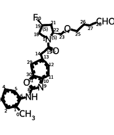 Cc1ccccc1Nc1nc2ccc(CC(=O)N3C[C@@H](F)C[C@H]3COCCCC=O)cc2o1